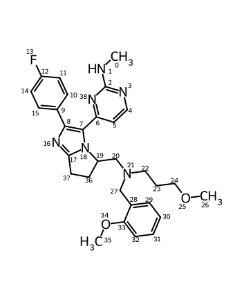 CNc1nccc(-c2c(-c3ccc(F)cc3)nc3n2C(CN(CCCOC)Cc2ccccc2OC)CC3)n1